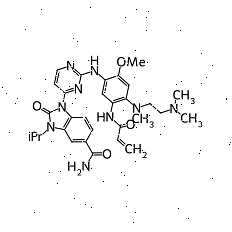 C=CC(=O)Nc1cc(Nc2nccc(-n3c(=O)n(C(C)C)c4cc(C(N)=O)ccc43)n2)c(OC)cc1N(C)CCN(C)C